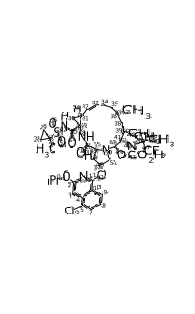 CC(C)Oc1cc2c(Cl)cccc2c(O[C@@H]2C[C@H]3C(=O)N[C@]4(C(=O)NS(=O)(=O)C5(C)CC5)C[C@H]4C=CCC[C@H](C)C[C@@H](C)[C@H](N(C(=O)O)C(C)(C)C(F)(F)F)C(=O)N3C2)n1